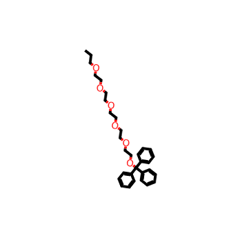 CCCOCCOCCOCCOCCOCCOC(c1ccccc1)(c1ccccc1)c1ccccc1